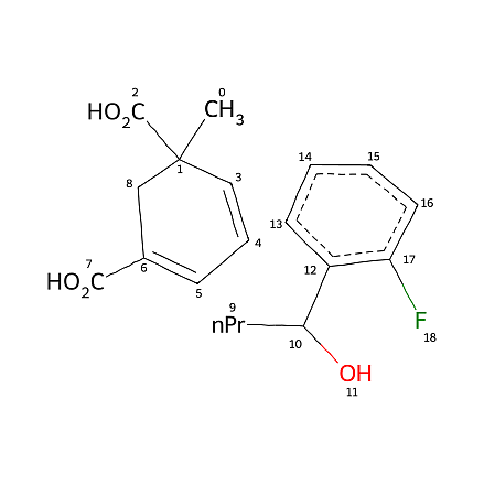 CC1(C(=O)O)C=CC=C(C(=O)O)C1.CCCC(O)c1ccccc1F